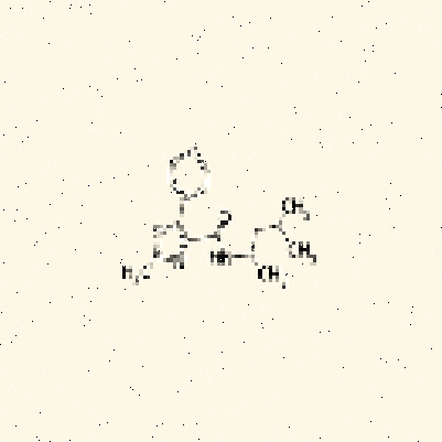 Cc1nc(C(=O)NC(C)CC(C)C)c(-c2ccccc2)s1